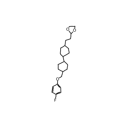 Fc1ccc(OCC2CCC(C3CCC(CCC4OCCO4)CC3)CC2)cc1